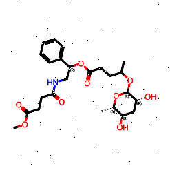 COC(=O)CCC(=O)NC[C@H](OC(=O)CCC(C)O[C@@H]1O[C@@H](C)[C@H](O)C[C@H]1O)c1ccccc1